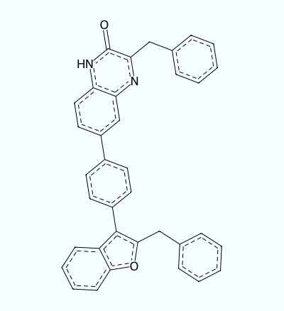 O=c1[nH]c2ccc(-c3ccc(-c4c(Cc5ccccc5)oc5ccccc45)cc3)cc2nc1Cc1ccccc1